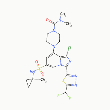 CN(C)C(=O)N1CCN(c2cc(S(=O)(=O)NC3(C)CC3)cn3c(-c4nnc(C(F)F)s4)nc(Cl)c23)CC1